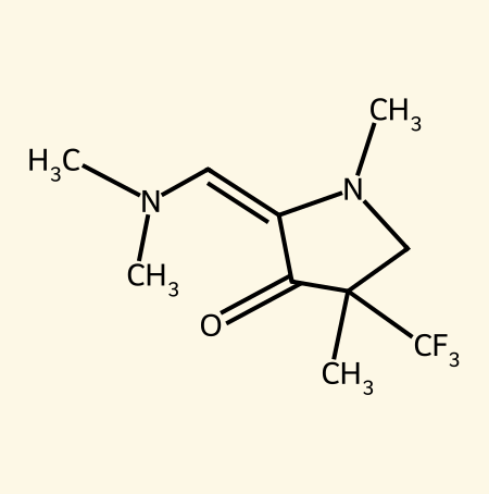 CN(C)/C=C1\C(=O)C(C)(C(F)(F)F)CN1C